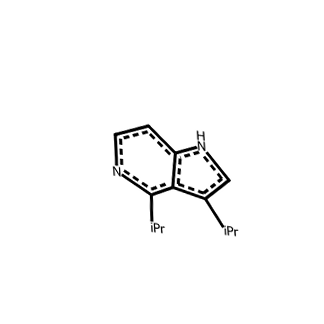 CC(C)c1c[nH]c2ccnc(C(C)C)c12